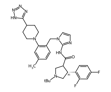 Cc1ccc(Cn2ccnc2NC(=O)C2CN(C(C)(C)C)C[C@H]2c2ccc(F)cc2F)c(N2CCC(c3nnn[nH]3)CC2)c1